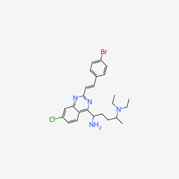 CCN(CC)C(C)CCC(N)c1nc(C=Cc2ccc(Br)cc2)nc2cc(Cl)ccc12